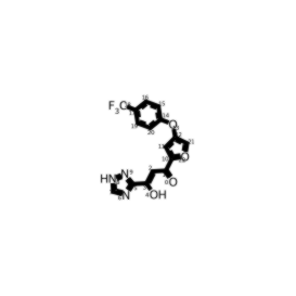 O=C(C=C(O)c1nc[nH]n1)c1cc(Oc2ccc(C(F)(F)F)cc2)co1